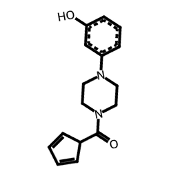 O=C(C1C=CC=C1)N1CCN(c2cccc(O)c2)CC1